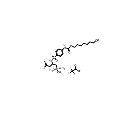 CCCCCCCCOC(=O)Nc1ccc(S(=O)(=O)NC(CC(=O)O)C[N+](C)(C)C)cc1.O=C([O-])C(F)(F)F